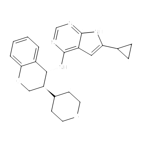 c1ccc2c(c1)OC[C@H](C1CCOCC1)[C@H]2Nc1ncnc2[nH]c(C3CC3)cc12